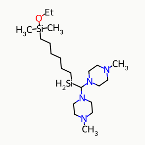 CCO[Si](C)(C)CCCCCC[SiH2]C(N1CCN(C)CC1)N1CCN(C)CC1